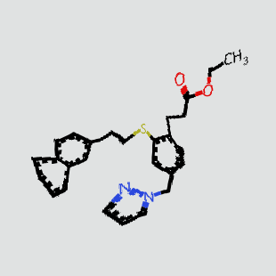 CCOC(=O)CCc1ccc(Cn2cccn2)cc1SCCc1ccc2ccccc2c1